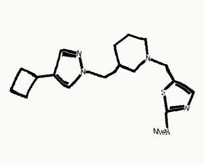 CNc1ncc(CN2CCCC(Cn3cc(C4CCC4)cn3)C2)s1